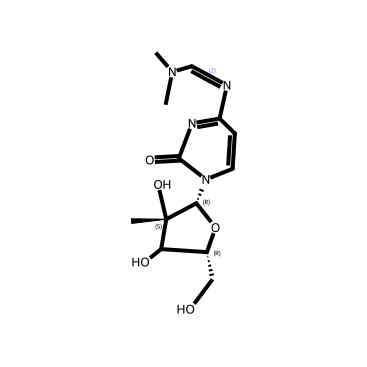 CN(C)/C=N\c1ccn([C@@H]2O[C@H](CO)C(O)[C@]2(C)O)c(=O)n1